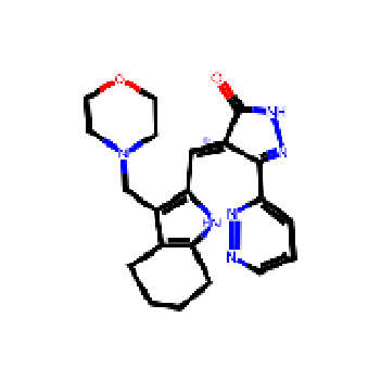 O=C1NN=C(c2cccnn2)/C1=C\c1[nH]c2c(c1CN1CCOCC1)CCCC2